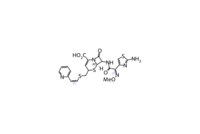 CO/N=C(\C(=O)NC1C(=O)N2C(C(=O)O)=CC(CS/C=C\c3ccccn3)S[C@H]12)c1csc(N)n1